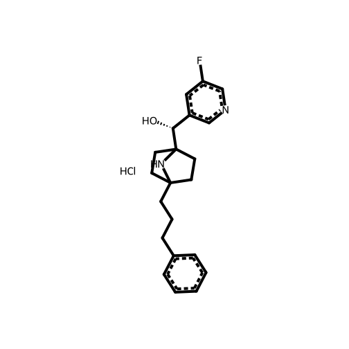 Cl.O[C@H](c1cncc(F)c1)C12CCC(CCCc3ccccc3)(CC1)N2